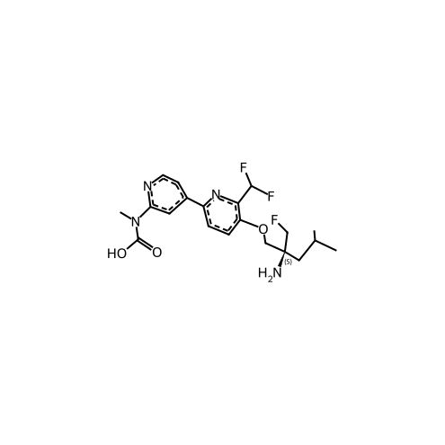 CC(C)C[C@@](N)(CF)COc1ccc(-c2ccnc(N(C)C(=O)O)c2)nc1C(F)F